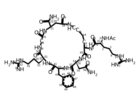 CC(=O)N[C@@H](CCCNC(=N)N)C(=O)NC1CCCCNC(=O)CC(C(N)=O)NC(=O)CNC(=O)[C@H](CCCNC(=N)N)NC(=O)C(Cc2ccccc2)NC(=O)[C@H](CC(N)=O)NC1=O